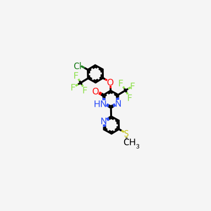 CSc1ccnc(-c2nc(C(F)(F)F)c(Oc3ccc(Cl)c(C(F)(F)F)c3)c(=O)[nH]2)c1